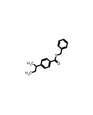 CCC(C)c1ccc(C(=O)SCc2ccccc2)cc1